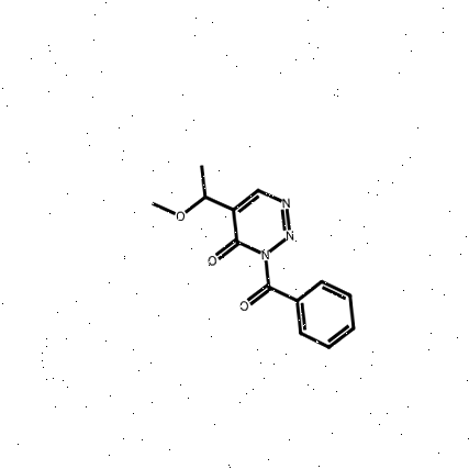 COC(C)c1cnnn(C(=O)c2ccccc2)c1=O